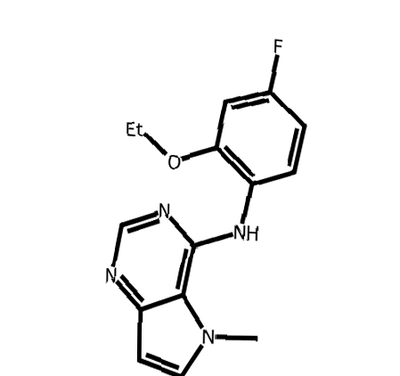 CCOc1cc(F)ccc1Nc1ncnc2ccn(C)c12